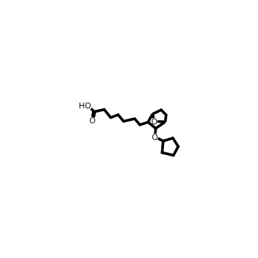 O=C(O)CCCCCCC1C2CCC(O2)C1OC1CCCC1